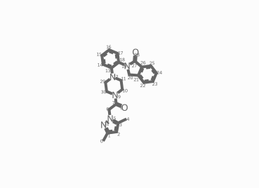 Cc1cc(C)n(CC(=O)N2CCN(c3ccccc3N3Cc4ccccc4C3=O)CC2)n1